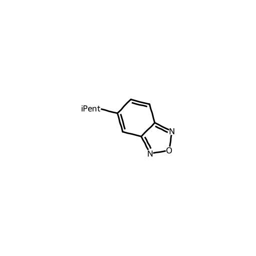 CCCC(C)c1ccc2nonc2c1